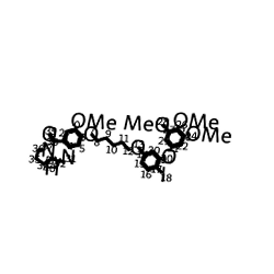 COc1cc2c(cc1OCCCCCOc1ccc(I)c(Oc3cc(OC)c(OC)c(OC)c3)c1)N=C[C@@H]1CCCN1C2=O